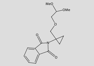 COC(COCC1(N2C(=O)c3ccccc3C2=O)CC1)OC